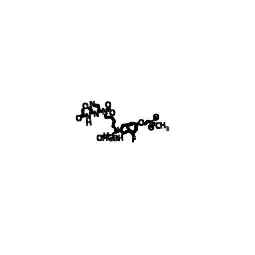 CN(CCC1CN(c2cnc3c(n2)NC(=O)CO3)C(=O)O1)C1Cc2cc(OCCS(C)(=O)=O)cc(F)c2C1.O=CO